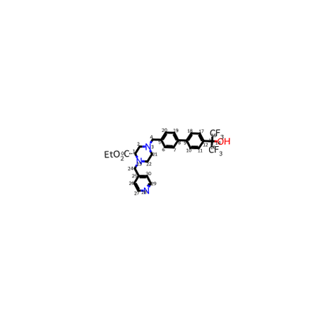 CCOC(=O)[C@@H]1CN(Cc2ccc(-c3ccc(C(O)(C(F)(F)F)C(F)(F)F)cc3)cc2)CCN1Cc1ccncc1